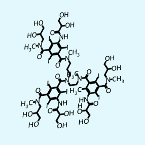 Cc1c(NC(=O)C(O)CO)c(I)c(C(=O)N(C)CC(O)CO)c(I)c1C(=O)N(C)CCN(CCCN(C)C(=O)c1c(I)c(NC(=O)C(O)CO)c(I)c(C(=O)N(C)CC(O)CO)c1I)C(=O)c1c(I)c(NC(=O)C(O)CO)c(I)c(C(=O)N(C)CC(O)CO)c1I